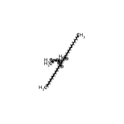 CCCCCCCCC=CCCCCCCCC(=O)OCC(COC(=O)CCCCCCCC=CCCCCCCCC)NC(=O)OCCN(C)CC